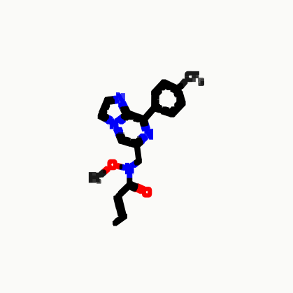 CC=CC(=O)N(Cc1cn2ccnc2c(-c2ccc(C(F)(F)F)cc2)n1)OCC